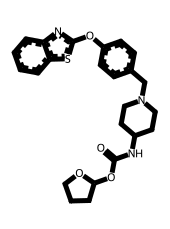 O=C(NC1CCN(Cc2ccc(Oc3nc4ccccc4s3)cc2)CC1)OC1CCCO1